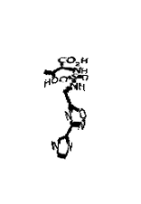 C=C(O)[C@H](NS(=O)(=O)NCc1nc(-c2cnccn2)no1)C(=O)O